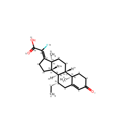 CC[C@H]1CC2=CC(=O)CC[C@]2(C)[C@H]2CC[C@]3(C)C(=C(F)C(=O)O)CC[C@H]3[C@H]12